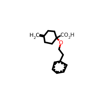 C=C1CCC(OCCc2ccccc2)(C(=O)O)CC1